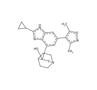 Cc1noc(C)c1-c1cc(C2(O)CN3CCC2CC3)c2nc(C3CC3)[nH]c2c1